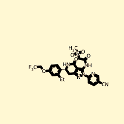 CCc1cc(OCC(F)(F)F)ccc1[C@H]1Cc2nn(-c3ccc(C#N)cn3)c(NC(=O)CS(C)(=O)=O)c2C(=O)N1